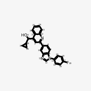 OC(c1cc(-c2ccc3c(c2)ncn3-c2ccc(F)cc2)nc2ccccc12)C1CC1